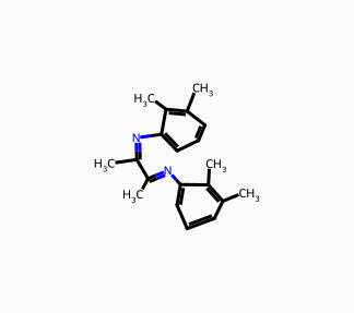 CC(=Nc1cccc(C)c1C)C(C)=Nc1cccc(C)c1C